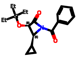 CC[Si](CC)(CC)O[C@H]1C(=O)N(C(=O)c2ccccc2)[C@H]1C1CC1